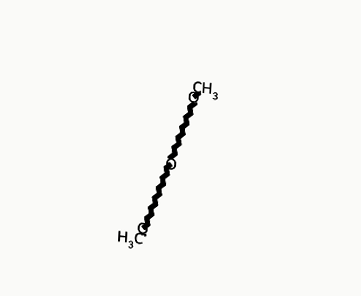 CCOCCCCCCCCCCCCOCCCCCCCCCCCCOCC